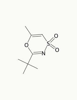 CC1=CS(=O)(=O)N=C(C(C)(C)C)O1